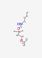 CCCCNCOC(C)(C)CCOC(C)C